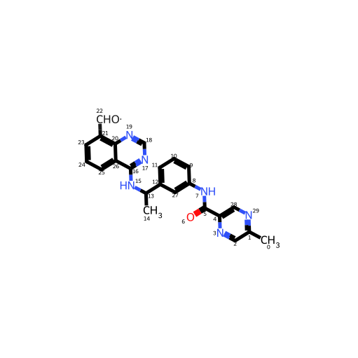 Cc1cnc(C(=O)Nc2cccc(C(C)Nc3ncnc4c([C]=O)cccc34)c2)cn1